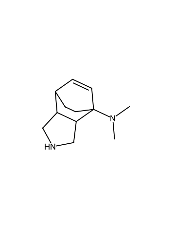 CN(C)C12C=CC(CC1)C1CNCC12